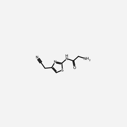 N#CCc1csc(NC(=O)CN)n1